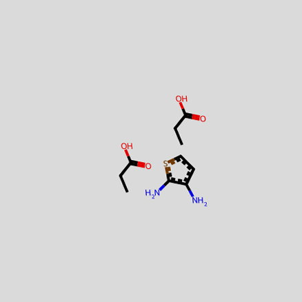 CCC(=O)O.CCC(=O)O.Nc1ccsc1N